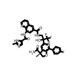 Cc1ncc(C(=O)Nc2cc(C(=O)NCC(O)(c3cc4c(c(-c5ccc(F)cc5)n3)OC[C@]4(C)C(N)=O)C(F)(F)F)cc3cccnc23)[nH]1